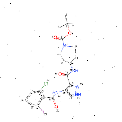 CC(C)(C)OC(=O)N1CCC(NC(=O)c2n[nH]cc2NC(=O)c2c(Cl)cccc2I)CC1